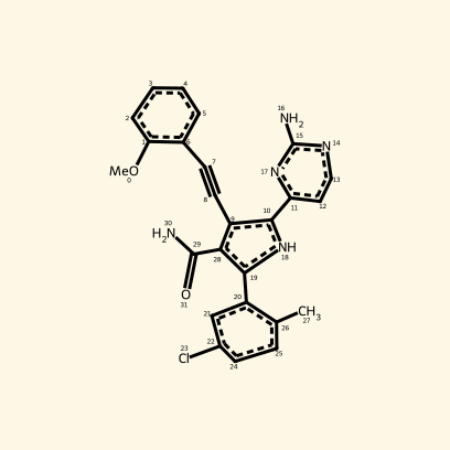 COc1ccccc1C#Cc1c(-c2ccnc(N)n2)[nH]c(-c2cc(Cl)ccc2C)c1C(N)=O